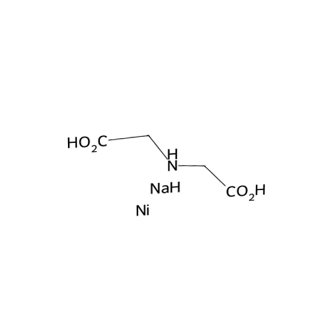 O=C(O)CNCC(=O)O.[NaH].[Ni]